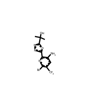 CC(C)(O)c1nnc(-c2nc(Br)c(C(F)(F)F)cc2N)o1